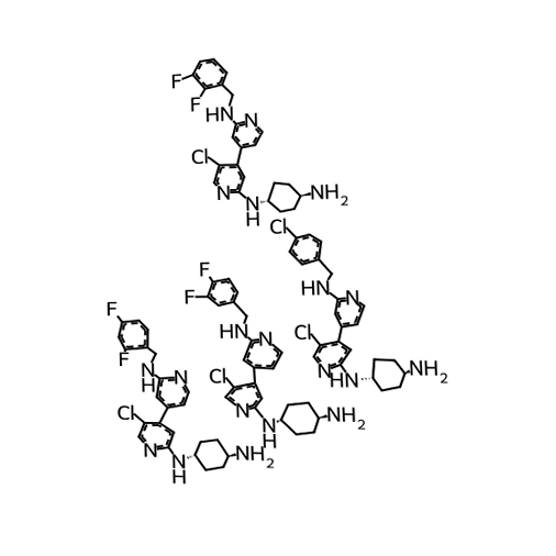 N[C@H]1CC[C@H](Nc2cc(-c3ccnc(NCc4ccc(Cl)cc4)c3)c(Cl)cn2)CC1.N[C@H]1CC[C@H](Nc2cc(-c3ccnc(NCc4ccc(F)c(F)c4)c3)c(Cl)cn2)CC1.N[C@H]1CC[C@H](Nc2cc(-c3ccnc(NCc4ccc(F)cc4F)c3)c(Cl)cn2)CC1.N[C@H]1CC[C@H](Nc2cc(-c3ccnc(NCc4cccc(F)c4F)c3)c(Cl)cn2)CC1